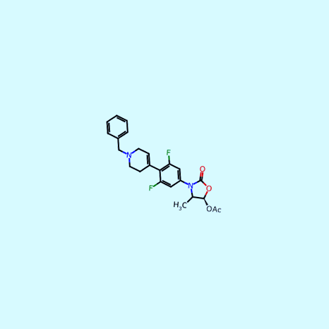 CC(=O)O[C@@H]1OC(=O)N(c2cc(F)c(C3=CCN(Cc4ccccc4)CC3)c(F)c2)C1C